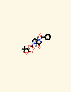 CC1(C)COC(=O)[C@@H]1OC(=O)N1CC[C@@H]2[C@H]1C(=O)CN2C(=O)c1ccccc1